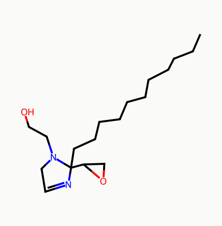 CCCCCCCCCCCC1(C2CO2)N=CCN1CCO